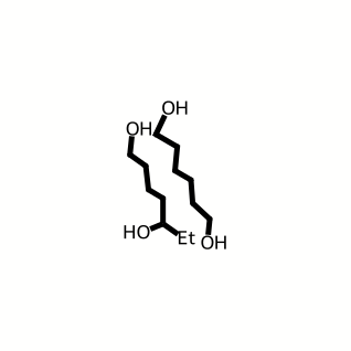 CCC(O)CCCCO.OCCCCCCO